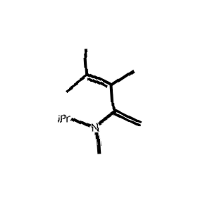 C=C(C(C)=C(C)C)N(C)C(C)C